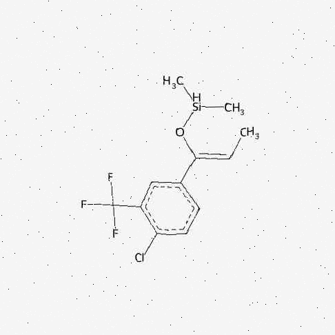 CC=C(O[SiH](C)C)c1ccc(Cl)c(C(F)(F)F)c1